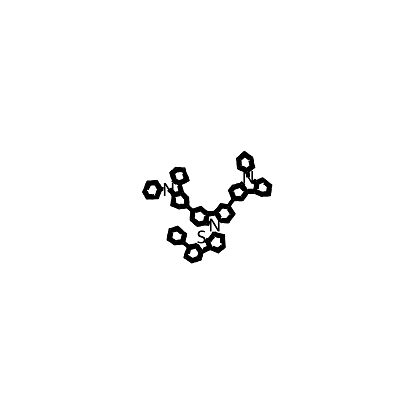 c1ccc(-c2cccc3c2sc2c(-n4c5ccc(-c6ccc7c(c6)c6ccccc6n7-c6ccccc6)cc5c5cc(-c6ccc7c(c6)c6ccccc6n7-c6ccccc6)ccc54)cccc23)cc1